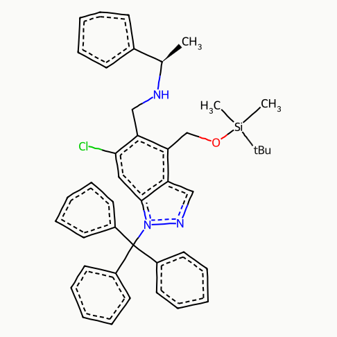 C[C@@H](NCc1c(Cl)cc2c(cnn2C(c2ccccc2)(c2ccccc2)c2ccccc2)c1CO[Si](C)(C)C(C)(C)C)c1ccccc1